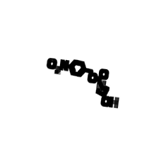 O=C(OCc1ccc([N+](=O)[O-])cc1)N1CC(O)C1